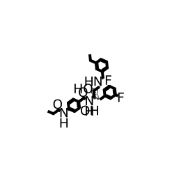 CCC(=O)Nc1ccc(C(=O)N[C@@H](Cc2cc(F)cc(F)c2)[C@H](O)CNCc2cccc(CC)c2)c(O)c1